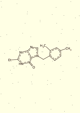 CCc1nc2ncn(Cc3ccc(C)cc3C)c2c(=O)[nH]1